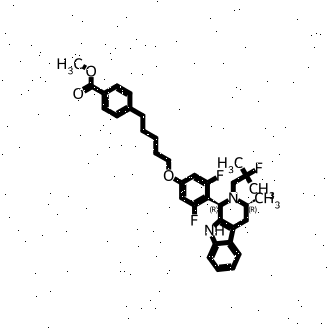 COC(=O)c1ccc(CCCCCOc2cc(F)c([C@@H]3c4[nH]c5ccccc5c4C[C@@H](C)N3CC(C)(C)F)c(F)c2)cc1